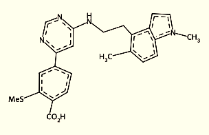 CSc1cc(-c2cc(NCCc3c(C)ccc4c3ccn4C)ncn2)ccc1C(=O)O